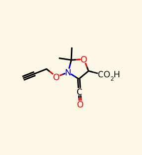 C#CCON1C(=C=O)C(C(=O)O)OC1(C)C